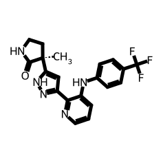 C[C@@]1(c2cc(-c3ncccc3Nc3ccc(C(F)(F)F)cc3)n[nH]2)CCNC1=O